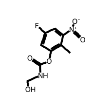 Cc1c(OC(=O)NCO)cc(F)cc1[N+](=O)[O-]